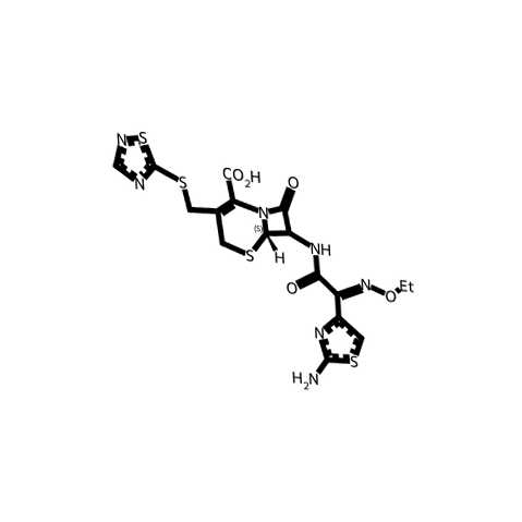 CCON=C(C(=O)NC1C(=O)N2C(C(=O)O)=C(CSc3ncns3)CS[C@@H]12)c1csc(N)n1